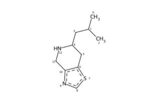 CC(C)CC1Cc2scnc2CN1